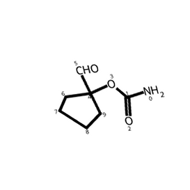 NC(=O)OC1(C=O)CCCC1